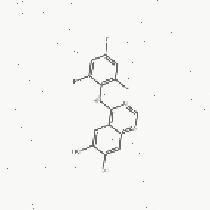 Oc1cc2ncnc(Nc3c(F)cc(F)cc3F)c2cc1O